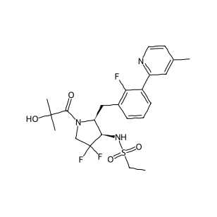 CCS(=O)(=O)N[C@@H]1[C@H](Cc2cccc(-c3cc(C)ccn3)c2F)N(C(=O)C(C)(C)O)CC1(F)F